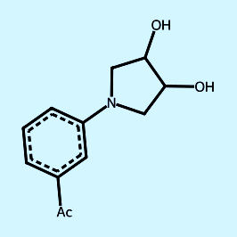 CC(=O)c1cccc(N2CC(O)C(O)C2)c1